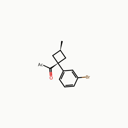 CC(=O)C(=O)[C@]1(c2cccc(Br)c2)C[C@H](C)C1